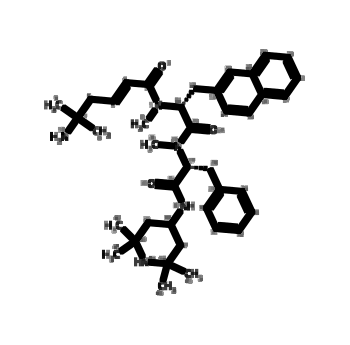 CN(C(=O)/C=C/CC(C)(C)N)[C@H](Cc1ccc2ccccc2c1)C(=O)N(C)[C@H](Cc1ccccc1)C(=O)NC1CC(C)(C)NC(C)(C)C1